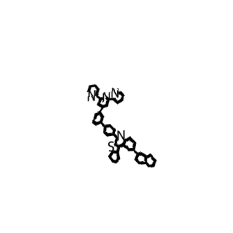 c1ccc(-c2cc(-c3cccc(-c4ccc(-c5nc6ccc(-c7ccc8ccccc8c7)cc6c6c5sc5ccccc56)cc4)c3)cc(-c3ccccn3)n2)nc1